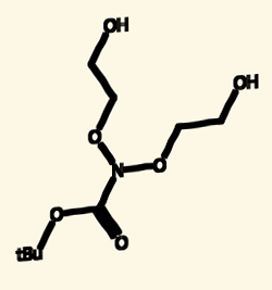 CC(C)(C)OC(=O)N(OCCO)OCCO